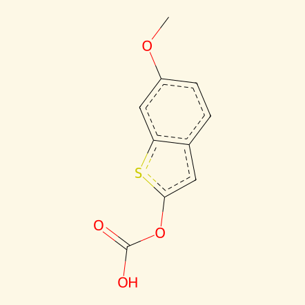 COc1ccc2cc(OC(=O)O)sc2c1